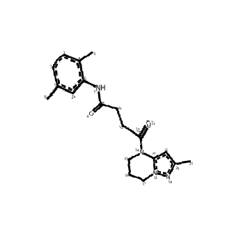 Cc1ccc(C)c(NC(=O)CCC(=O)N2CCCn3nc(C)cc32)c1